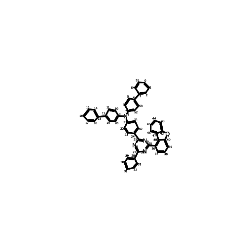 c1ccc(-c2ccc(N(c3ccc(-c4ccccc4)cc3)c3ccc(-c4nc(-c5ccccc5)nc(-c5cccc6oc7ccccc7c56)n4)cc3)cc2)cc1